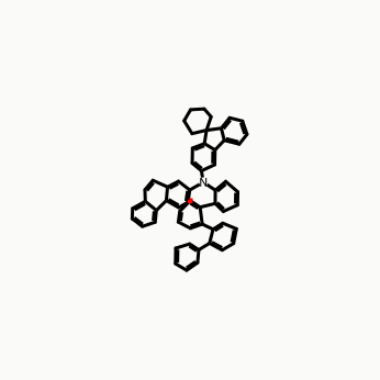 c1ccc(-c2ccccc2-c2ccccc2-c2ccccc2N(c2ccc3c(c2)-c2ccccc2C32CCCCC2)c2ccc3c(ccc4ccccc43)c2)cc1